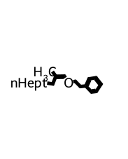 CCCCCCCCC(C)=COCCc1ccccc1